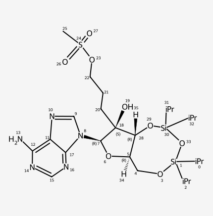 CC(C)[Si]1(C(C)C)OC[C@H]2O[C@@H](n3cnc4c(N)ncnc43)[C@](O)(CCCOS(C)(=O)=O)[C@@H]2O[Si](C(C)C)(C(C)C)O1